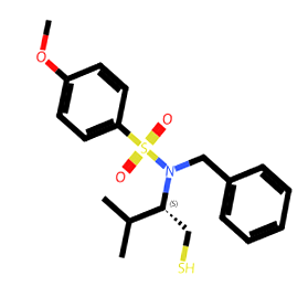 COc1ccc(S(=O)(=O)N(Cc2ccccc2)[C@H](CS)C(C)C)cc1